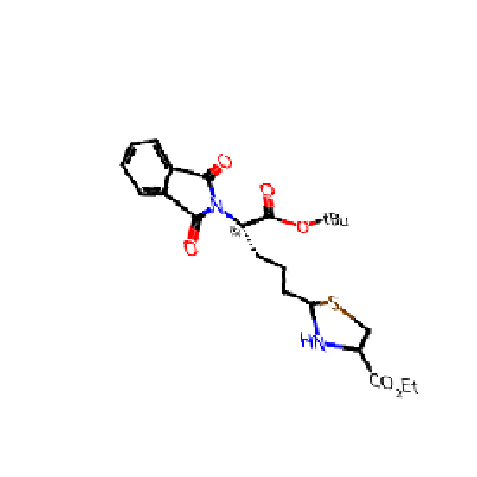 CCOC(=O)C1CSC(CCC[C@@H](C(=O)OC(C)(C)C)N2C(=O)c3ccccc3C2=O)N1